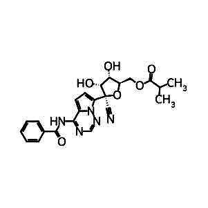 CC(C)C(=O)OC[C@H]1O[C@@](C#N)(c2ccc3c(NC(=O)c4ccccc4)ncnn23)[C@H](O)[C@@H]1O